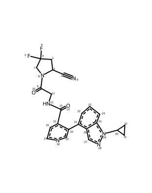 N#CC1CC(F)(F)CN1C(=O)CNC(=O)c1ccncc1-c1cccc2c1cnn2C1CC1